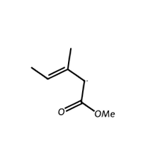 CC=C(C)[CH]C(=O)OC